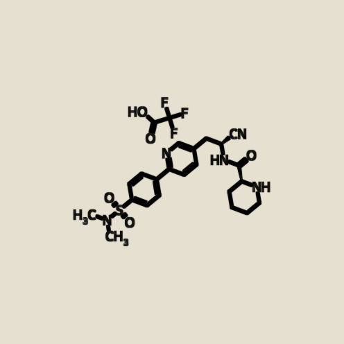 CN(C)S(=O)(=O)c1ccc(-c2ccc(C[C@@H](C#N)NC(=O)[C@@H]3CCCCN3)cn2)cc1.O=C(O)C(F)(F)F